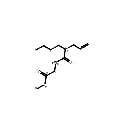 C=CC[C@H](CCCC)C(=O)NCC(=O)OC